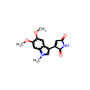 COc1cc2c(C3=CC(=O)NC3=O)cn(C)c2cc1OC